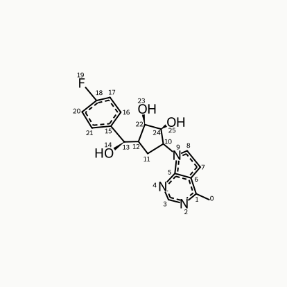 Cc1ncnc2c1ccn2C1CC([C@@H](O)c2ccc(F)cc2)[C@@H](O)[C@H]1O